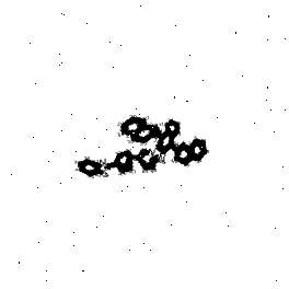 c1ccc2cc(-c3c4ccccc4c(-c4ccc5ccccc5c4)c4c3nc3ccc(-c5ccc(-c6nc7ccccc7s6)cc5)cn34)ccc2c1